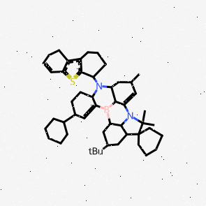 CC1C=C2C3B(C4=CC(C5CCCCC5)CCC4N(C4CCCc5c4sc4c5CCC=C4)C3C1)C1CC(C(C)(C)C)CC3C1N2C(C)(C)C31CCCCC1